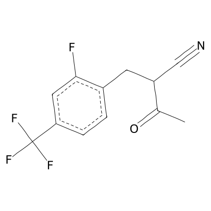 CC(=O)C(C#N)Cc1ccc(C(F)(F)F)cc1F